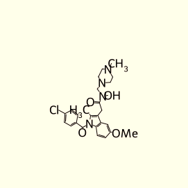 COc1ccc2c(c1)c(CC(=O)N(O)CN1CCN(C)CC1)c(C)n2C(=O)c1ccc(Cl)cc1